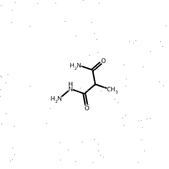 C[C](C(N)=O)C(=O)NN